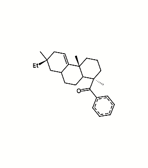 CC[C@@]1(C)CC=C2C(CCC3[C@](C)(C(=O)c4ccccc4)CCC[C@@]23C)C1